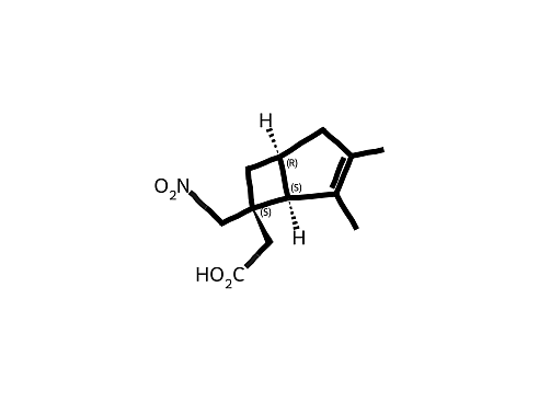 CC1=C(C)[C@@H]2[C@H](C1)C[C@@]2(CC(=O)O)C[N+](=O)[O-]